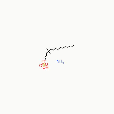 CCCCCCCCCCCC(C)(C)CCCCOS(=O)(=O)O.N